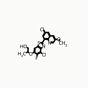 COc1cnc2c(-c3nc4c(Cl)c(F)c(OC(C)CO)cc4s3)cc(Cl)cc2c1